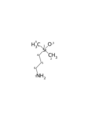 C[Si](C)([O])CCCN